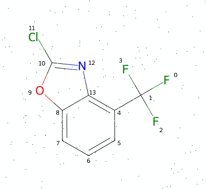 FC(F)(F)c1cccc2oc(Cl)nc12